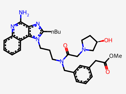 CCCCc1nc2c(N)nc3ccccc3c2n1CCCN(Cc1cccc(CC(=O)OC)c1)C(=O)CN1CC[C@@H](O)C1